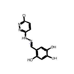 Oc1cc(O)c(/C=N/Nc2ccc(Cl)nn2)cc1O